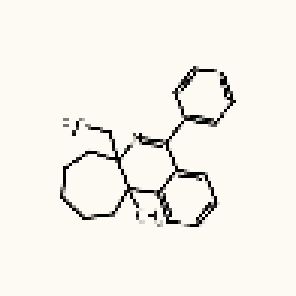 CC12CCCCCC1(CC(F)(F)F)N=C(c1ccccc1)c1ccccc12